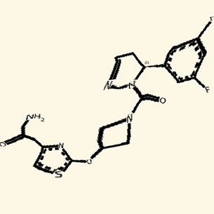 NC(=O)c1csc(OC2CN(C(=O)N3N=CC[C@H]3c3cc(F)cc(F)c3)C2)n1